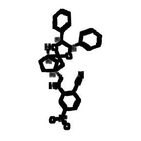 N#Cc1ccc([N+](=O)[O-])cc1NC[C@]12CC[C@H](C1)C1(C2)O[C@@H](c2ccccc2)[C@H](c2ccccc2)O1